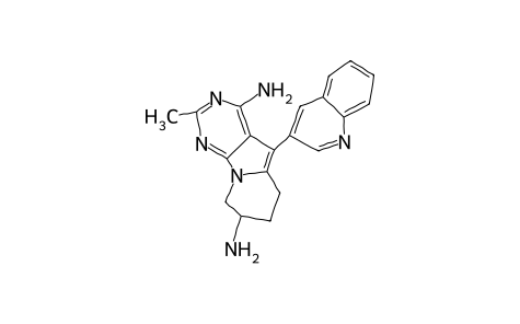 Cc1nc(N)c2c(-c3cnc4ccccc4c3)c3n(c2n1)CC(N)CC3